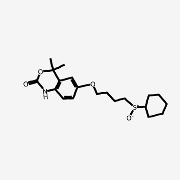 CC1(C)OC(=O)Nc2ccc(OCCCC[S+]([O-])C3CCCCC3)cc21